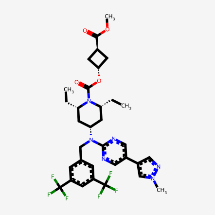 CC[C@@H]1C[C@H](N(Cc2cc(C(F)(F)F)cc(C(F)(F)F)c2)c2ncc(-c3cnn(C)c3)cn2)C[C@H](CC)N1C(=O)O[C@H]1C[C@H](C(=O)OC)C1